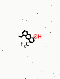 C=Cc1cccc2cc3c(O)ccc(C(F)(F)F)c3cc12